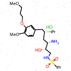 COCCCOc1cc(C[C@@H](C[C@H](N)[C@@H](O)CNS(=O)(=O)C(C)C)C(C)C)ccc1OC.Cl